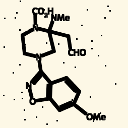 CNC1(CC=O)CN(c2noc3cc(OC)ccc23)CCN1C(=O)O